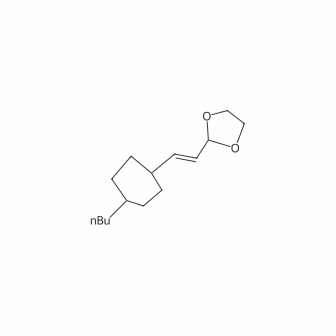 CCCCC1CCC(C=CC2OCCO2)CC1